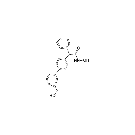 O=C(NO)C(c1ccccc1)c1ccc(-c2cccc(CO)c2)cc1